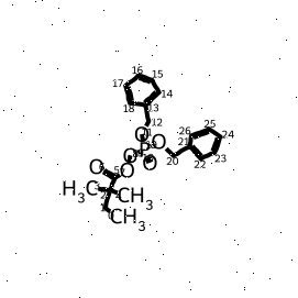 CCC(C)(C)C(=O)OOP(=O)(OCc1ccccc1)OCc1ccccc1